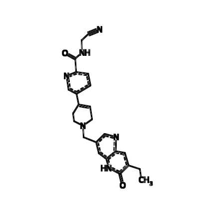 CCc1cc2ncc(CN3CC=C(c4ccc(C(=O)NCC#N)nc4)CC3)cc2[nH]c1=O